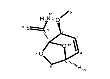 CO[C@H]1C=C[C@H]2CO[C@]1(C(N)=S)O2